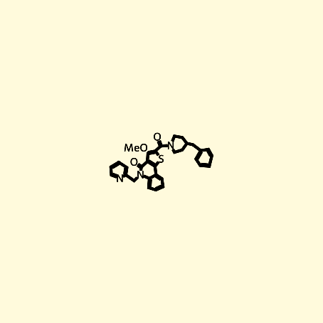 COc1c(C(=O)N2CCC(Cc3ccccc3)CC2)sc2c1c(=O)n(Cc1ccccn1)c1ccccc21